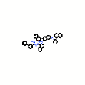 C1=CC2=CCC(n3c4c(c5cc6ccc(-n7c8c(c9c%10ccccc%10ccc97)CCCC8)cc6cc53)C=CCC4)C(C3=NC(c4cccc(-c5ccccc5)c4)NC(c4ccccc4)N3)=C2CC1